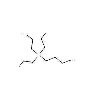 CCCCCCCCCCCC[N+](CCO)(CCO)CCO.Cl